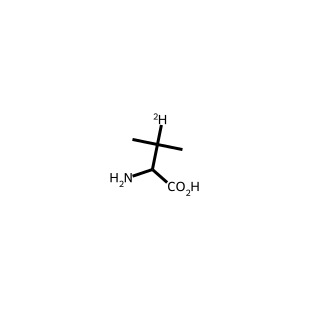 [2H]C(C)(C)C(N)C(=O)O